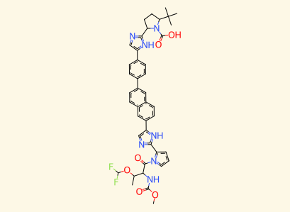 COC(=O)NC(C(=O)n1cccc1-c1ncc(-c2ccc3cc(-c4ccc(-c5cnc(C6CCC(C(C)(C)C)N6C(=O)O)[nH]5)cc4)ccc3c2)[nH]1)C(C)OC(F)F